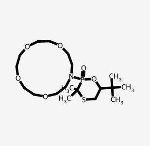 CC(C)(C)C1CSC(C)(C)P(=O)(N2CCOCCOCCOCCOCC2)O1